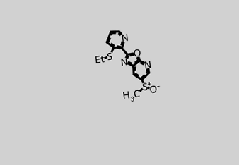 CCSc1cccnc1-c1nc2cc([S+](C)[O-])cnc2o1